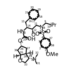 COc1ccc(S(=O)(=O)N(CC(C)C)C[C@@H](O)[C@H](Cc2ccccc2)NC(=O)O[C@@H]2C[C@@H]3[C@H](N(C)C)CO[C@@H]3C2)cc1